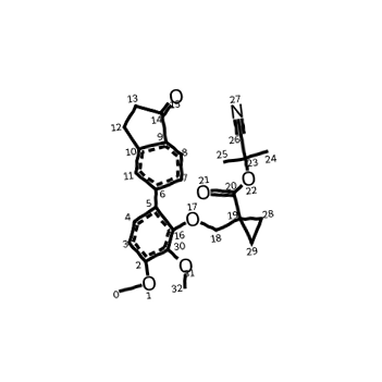 COc1ccc(-c2ccc3c(c2)CCC3=O)c(OCC2(C(=O)OC(C)(C)C#N)CC2)c1OC